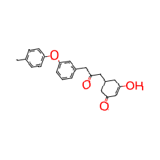 Cc1ccc(Oc2cccc(CC(=O)CC3CC(=O)C=C(O)C3)c2)cc1